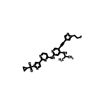 CC(C)Nc1cc(Nc2ccnc(-c3cnn(S(=O)(=O)C4CC4)c3)n2)ncc1C#Cc1cnn(CCF)c1